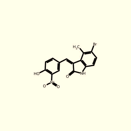 Cc1c(Br)ccc2c1C(=Cc1ccc(O)c([N+](=O)[O-])c1)C(=O)N2